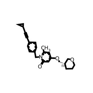 Cc1cc(OC[C@H]2CCCOC2)cc(=O)n1Cc1ccc(C#CC2CC2)cc1